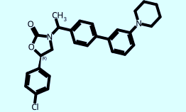 CC(c1ccc(-c2cccc(N3CCCCC3)c2)cc1)N1C[C@@H](c2ccc(Cl)cc2)OC1=O